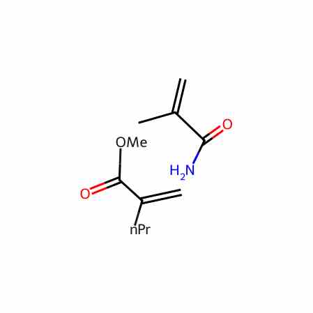 C=C(C)C(N)=O.C=C(CCC)C(=O)OC